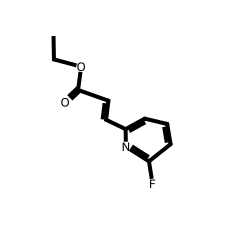 CCOC(=O)/C=C/c1cccc(F)n1